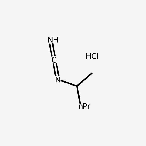 CCCC(C)N=C=N.Cl